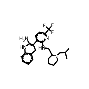 CC(C)CN1CCCCC1CNc1nc(C(F)(F)F)ccc1C1=C(N)Nc2[c]cccc2C1